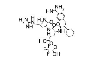 N=C(N)NCCCC(NC(=O)C(CCC(=O)O)NC(=O)[C@@H](Cc1ccc(C(=N)N)cc1)C1CCCCC1)C(N)=O.O=C(O)C(F)(F)F